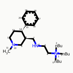 CCCC[N+](CCCC)(CCCC)CCNC[C@H]1CN(C)CC[C@@H]1c1ccccc1